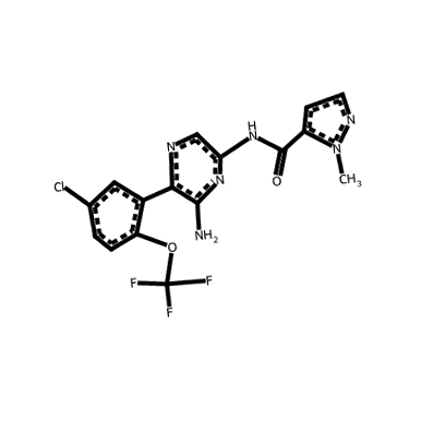 Cn1nccc1C(=O)Nc1cnc(-c2cc(Cl)ccc2OC(F)(F)F)c(N)n1